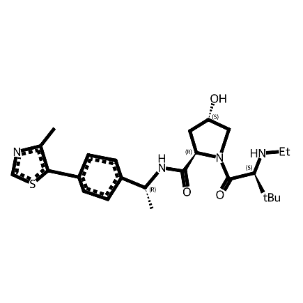 CCN[C@H](C(=O)N1C[C@@H](O)C[C@@H]1C(=O)N[C@H](C)c1ccc(-c2scnc2C)cc1)C(C)(C)C